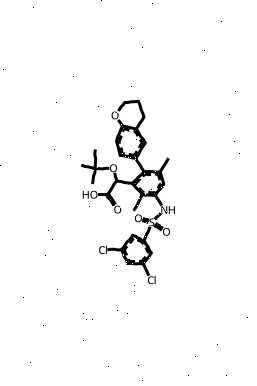 Cc1cc(NS(=O)(=O)c2cc(Cl)cc(Cl)c2)c(C)c(C(OC(C)(C)C)C(=O)O)c1-c1ccc2c(c1)CCCO2